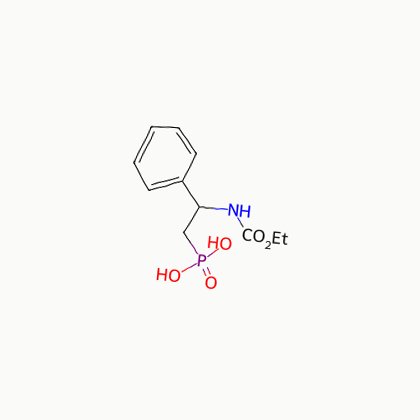 CCOC(=O)NC(CP(=O)(O)O)c1ccccc1